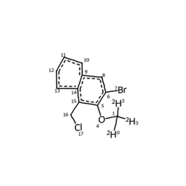 [2H]C([2H])([2H])Oc1c(Br)cc2ccccc2c1CCl